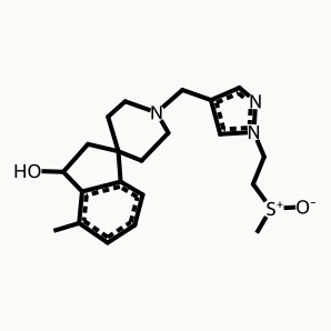 Cc1cccc2c1C(O)CC21CCN(Cc2cnn(CC[S+](C)[O-])c2)CC1